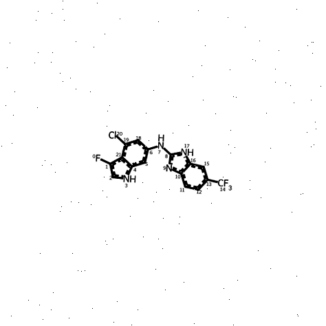 Fc1c[nH]c2cc(Nc3nc4ccc(C(F)(F)F)cc4[nH]3)cc(Cl)c12